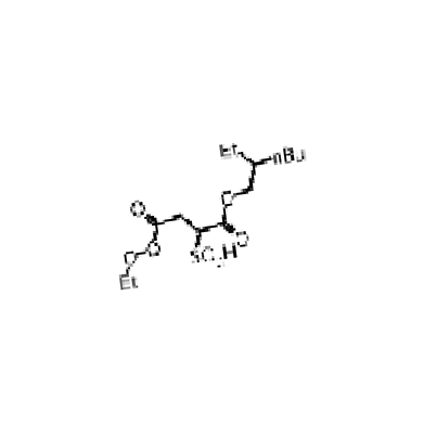 CCCCC(CC)COC(=O)C(CC(=O)OOCC)S(=O)(=O)O